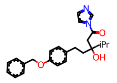 CC(C)C(O)(CCc1ccc(OCc2ccccc2)cc1)CC(=O)n1ccnc1